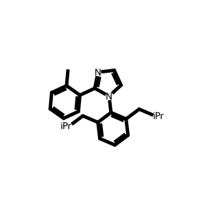 Cc1ccccc1-c1nccn1-c1c(CC(C)C)cccc1CC(C)C